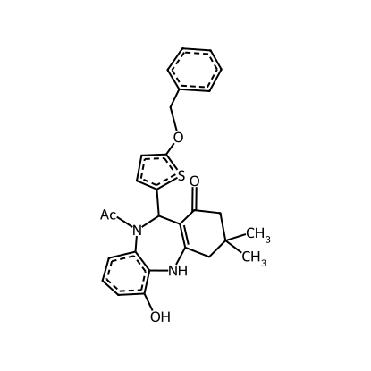 CC(=O)N1c2cccc(O)c2NC2=C(C(=O)CC(C)(C)C2)C1c1ccc(OCc2ccccc2)s1